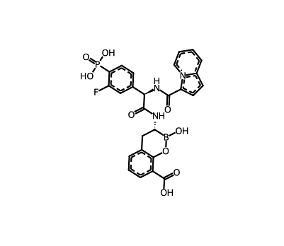 O=C(O)c1cccc2c1OB(O)[C@@H](NC(=O)[C@H](NC(=O)c1ccc3ccccn13)c1ccc(P(=O)(O)O)c(F)c1)C2